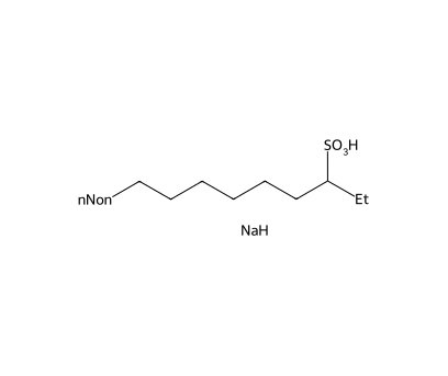 CCCCCCCCCCCCCCCC(CC)S(=O)(=O)O.[NaH]